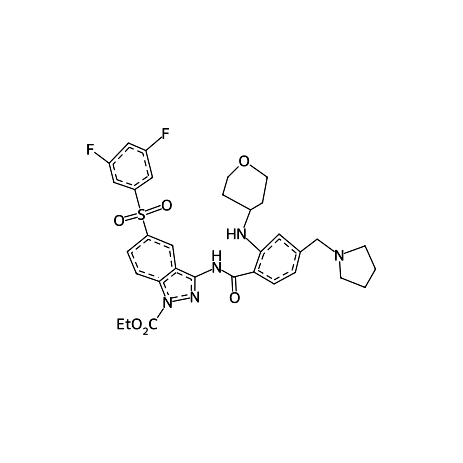 CCOC(=O)n1nc(NC(=O)c2ccc(CN3CCCC3)cc2NC2CCOCC2)c2cc(S(=O)(=O)c3cc(F)cc(F)c3)ccc21